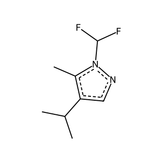 Cc1c(C(C)C)cnn1C(F)F